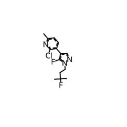 Cc1ccc(-c2cnn(CCC(C)(C)F)c2F)c(Cl)n1